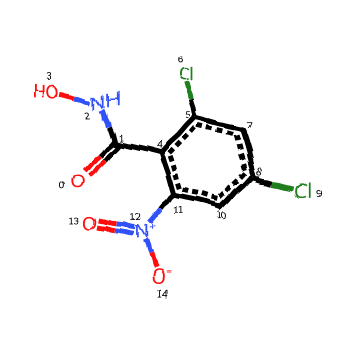 O=C(NO)c1c(Cl)cc(Cl)cc1[N+](=O)[O-]